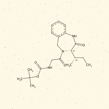 CC[C@H](C)[C@H]1C(=O)Nc2ccccc2CN1C(=O)CNC(=O)OC(C)(C)C